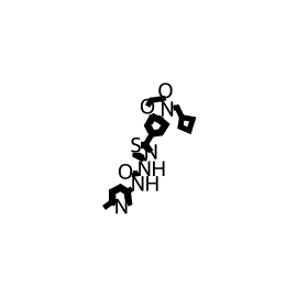 Cc1ccc(NC(=O)Nc2csc(-c3ccc4c(c3)OCC(=O)N4CC3CCC3)n2)cn1